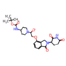 CC(C)(C)OC(=O)NC1CCN(C(=O)COc2cccc3c2CN(C2CCC(=O)NC2=O)C3=O)CC1